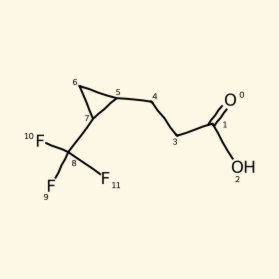 O=C(O)CCC1CC1C(F)(F)F